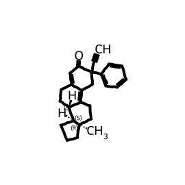 C#CC1(c2ccccc2)CC2=C3CC[C@@]4(C)CCC[C@H]4[C@@H]3CCC2=CC1=O